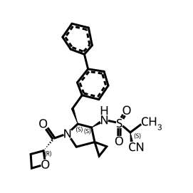 C[C@@H](C#N)S(=O)(=O)N[C@@H]1[C@H](Cc2cccc(-c3ccccc3)c2)N(C(=O)[C@H]2CCO2)CC12CC2